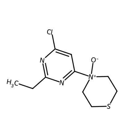 CCc1nc(Cl)cc([N+]2([O-])CCSCC2)n1